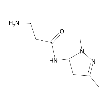 CC1=NN(C)C(NC(=O)CCN)C1